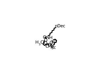 CCCCCCCCCCCCCCCCCCNC(=O)OC[C@]1(C)CC[C@](C)(COC(=O)N(Cc2ccccn2)C(C)=O)O1